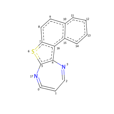 C1=CC=Nc2c(sc3ccc4ccccc4c23)N=1